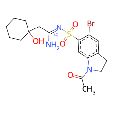 CC(=O)N1CCc2cc(Br)c(S(=O)(=O)/N=C(\N)CC3(O)CCCCC3)cc21